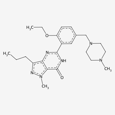 CCCc1nn(C)c2c(=O)[nH]c(-c3cc(CN4CCN(C)CC4)ccc3OCC)nc12